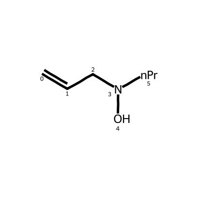 C=CCN(O)CCC